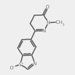 CN1N=C(c2ccc3c(c2)nc[s+]3[O-])CCC1=O